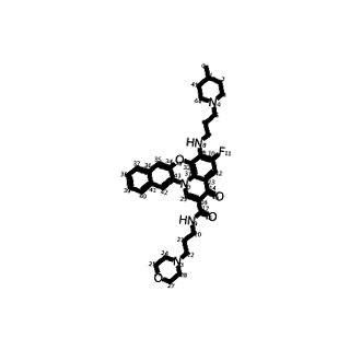 CC1CCN(CCCNc2c(F)cc3c(=O)c(C(=O)NCCCN4CCOCC4)cn4c3c2Oc2cc3ccccc3cc2-4)CC1